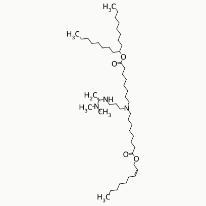 C=C(NCCCN(CCCCCCCC(=O)OC/C=C\CCCCCC)CCCCCCCC(=O)OC(CCCCCCCC)CCCCCCCC)N(C)C